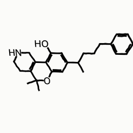 CC(CCCc1ccccc1)c1cc(O)c2c(c1)OC(C)(C)C1=C2CNCC1